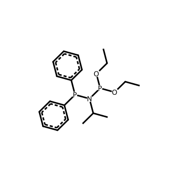 CCOP(OCC)N(C(C)C)P(c1ccccc1)c1ccccc1